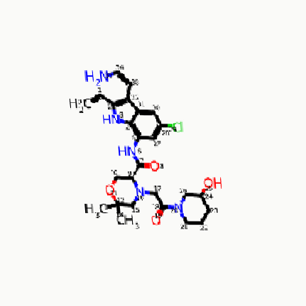 C=Cc1[nH]c2c(NC(=O)[C@@H]3COC(C)(C)CN3CC(=O)N3CCCC(O)C3)cc(Cl)cc2c1/C=C\N